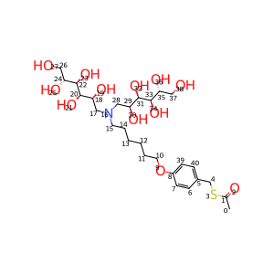 CC(=O)SCc1ccc(OCCCCCCN(C[C@H](O)[C@@H](O)[C@H](O)[C@H](O)CO)C[C@H](O)[C@@H](O)[C@H](O)[C@H](O)CO)cc1